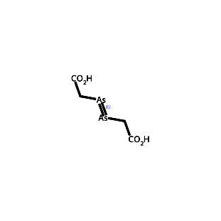 O=C(O)C/[As]=[As]/CC(=O)O